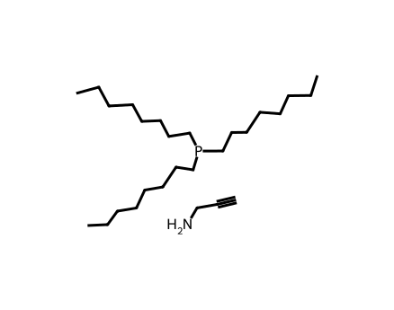 C#CCN.CCCCCCCCP(CCCCCCCC)CCCCCCCC